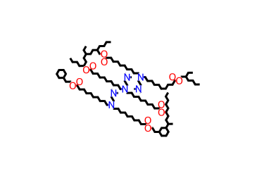 CCCCCC(CCC(C)C1CCCC(CCOC(=O)CCCCCCCCCN(CCCCCCCCCC(=O)OCCC2CCCCC2)CCN(C)C)C1)OC(=O)CCCCCCCCCN(CCCCCCCCCC(=O)OC(CCCC)CCC(CC)CCC(CCCC)COC(=O)CCCCCCCCCN(CCCCCCCCCC(=O)OCC(CC)CCCC)CCN(C)C)CCN(C)C